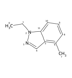 CCn1ncc2c(C)c[c]cc21